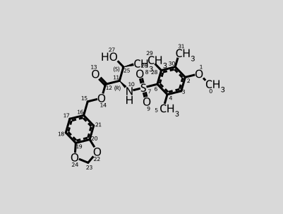 COc1cc(C)c(S(=O)(=O)N[C@@H](C(=O)OCc2ccc3c(c2)OCO3)[C@H](C)O)c(C)c1C